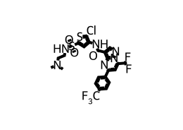 CN(C)CCNS(=O)(=O)c1cc(NC(=O)c2cnn3c(C(F)F)cc(-c4ccc(C(F)(F)F)cc4)nc23)c(Cl)s1